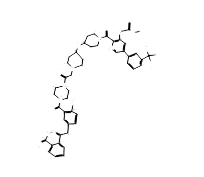 CC(C)(C)OC(=O)Nc1cc(-c2cccc(C(C)(F)F)c2)cnc1C(=O)N1CCC(OC2CCN(CC(=O)N3CCN(C(=O)c4cc(Cc5n[nH]c(=O)c6ccccc56)ccc4F)CC3)CC2)CC1